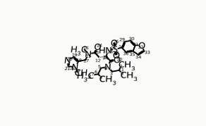 CC(C)CN(CC(C)C)C(=O)[C@H](CC(=O)N(C)Cc1cncn1C)NS(=O)(=O)c1ccc2occc2c1